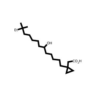 CCC(C)(C)CCCCCC(O)CCCCCC1(CC(=O)O)CC1